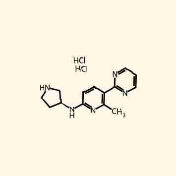 Cc1nc(N[C@H]2CCNC2)ccc1-c1ncccn1.Cl.Cl